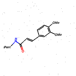 CCCC(C)NC(=O)C=Cc1ccc(OC)c(OC)c1